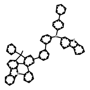 CC1(c2ccccc2)c2cc(-c3cccc(-c4cccc(N(c5ccc(-c6ccccc6)cc5)c5ccc6c(c5)sc5ccccc56)c4)c3)cc3c2-c2c1ccc1c4ccccc4n(c21)-c1ccccc1-3